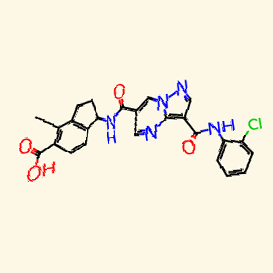 Cc1c(C(=O)O)ccc2c1CCC2NC(=O)c1cnc2c(C(=O)Nc3ccccc3Cl)cnn2c1